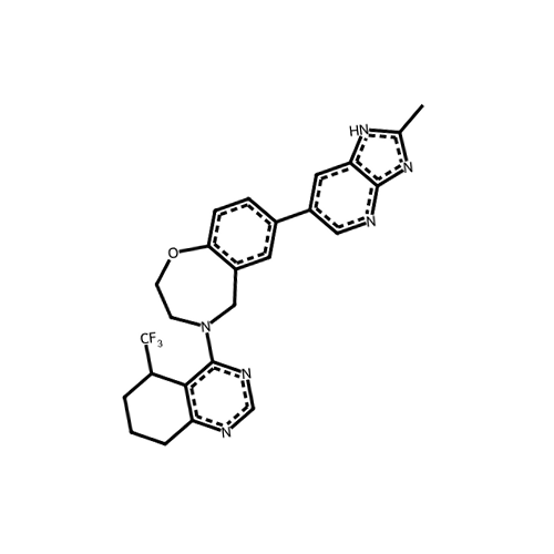 Cc1nc2ncc(-c3ccc4c(c3)CN(c3ncnc5c3C(C(F)(F)F)CCC5)CCO4)cc2[nH]1